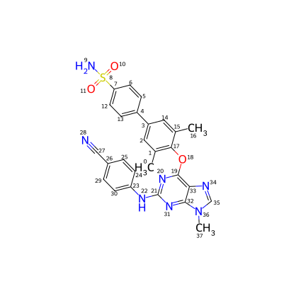 Cc1cc(-c2ccc(S(N)(=O)=O)cc2)cc(C)c1Oc1nc(Nc2ccc(C#N)cc2)nc2c1ncn2C